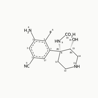 N#Cc1cc(N)c(F)c([C@]2(NC(=O)O)CCNC[C@H]2O)c1